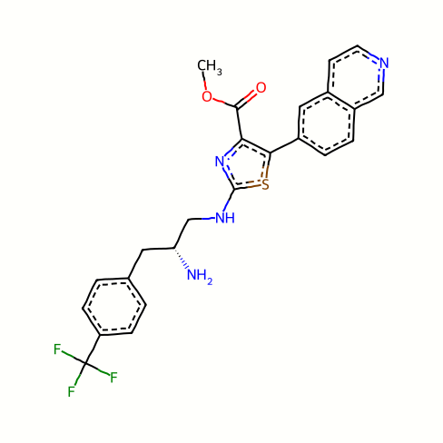 COC(=O)c1nc(NC[C@H](N)Cc2ccc(C(F)(F)F)cc2)sc1-c1ccc2cnccc2c1